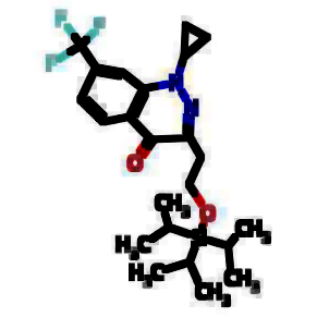 CC(C)[Si](OCCc1nn(C2CC2)c2cc(C(F)(F)F)ccc2c1=O)(C(C)C)C(C)C